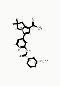 CC(=O)N[C@@H]1CCC[C@H](C(=O)Nc2cc(-c3cc(C(N)=O)c4n3CC(C)(C)C4)ccn2)C1